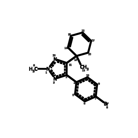 Cn1nc(-c2ccc(Br)cc2)c(C2(C)C=CC=CC2)n1